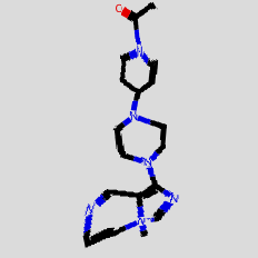 CC(=O)N1CCC(N2CCN(C3=C4C=NC=C[N+]4(C)C=N3)CC2)CC1